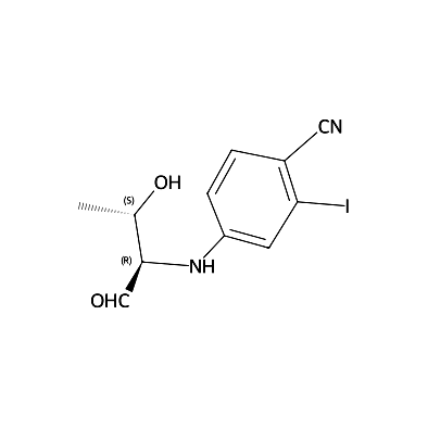 C[C@H](O)[C@H](C=O)Nc1ccc(C#N)c(I)c1